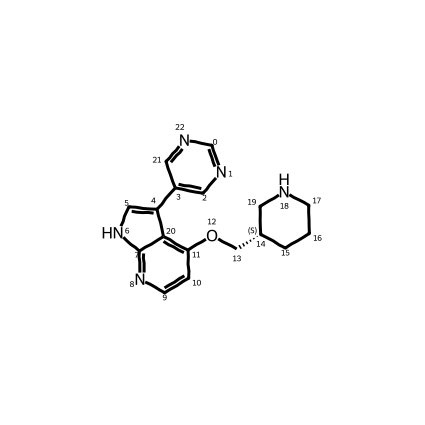 c1ncc(-c2c[nH]c3nccc(OC[C@H]4CCCNC4)c23)cn1